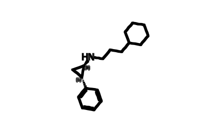 c1ccc([C@@H]2C[C@H]2NCCCC2CCCCC2)cc1